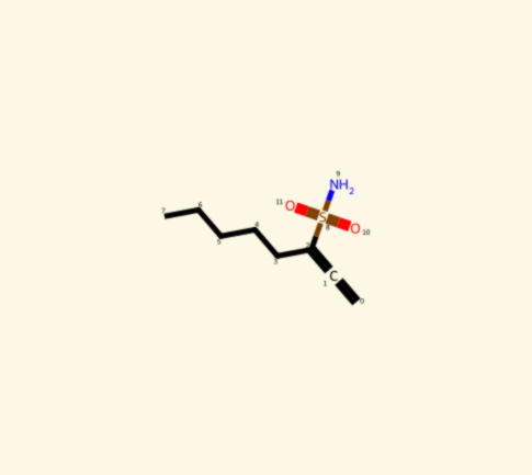 C=C=C(CCCCC)S(N)(=O)=O